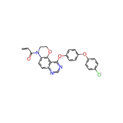 C=CC(=O)N1CCOc2c1ccc1ncnc(Oc3ccc(Oc4ccc(Cl)cc4)cc3)c21